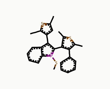 CSp1c(-c2c(C)sc(C)c2-c2ccccc2)c(-c2cc(C)sc2C)c2ccccc21